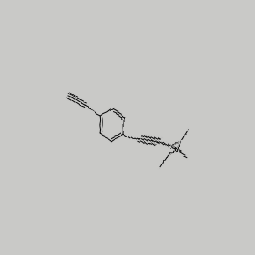 C#Cc1ccc(C#C[Si](C)(C)C)cc1